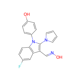 O/N=C/c1c(-n2cccc2)n(-c2ccc(O)cc2)c2ccc(F)cc12